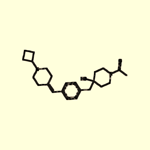 CC(=O)N1CCC(O)(Cc2ccc(C=C3CCN(C4CCC4)CC3)cc2)CC1